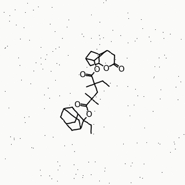 CCC(C)(CC(C)(C)C(=O)OC1(CC)C2CC3CC(C2)CC1C3)C(=O)OC1C2CC3OC(=O)CC1C3C2